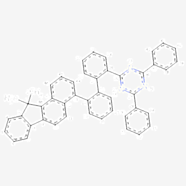 CC1(C)c2ccccc2-c2ccc3c(-c4ccccc4-c4ccccc4-c4nc(-c5ccccc5)nc(-c5ccccc5)n4)cccc3c21